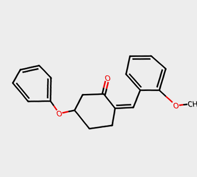 COc1ccccc1/C=C1/CCC(Oc2ccccc2)CC1=O